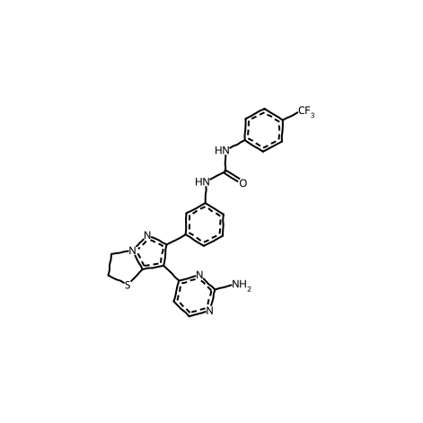 Nc1nccc(-c2c(-c3cccc(NC(=O)Nc4ccc(C(F)(F)F)cc4)c3)nn3c2SCC3)n1